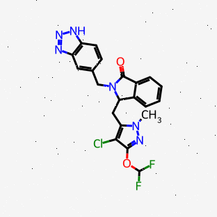 Cn1nc(OC(F)F)c(Cl)c1CC1c2ccccc2C(=O)N1Cc1ccc2[nH]nnc2c1